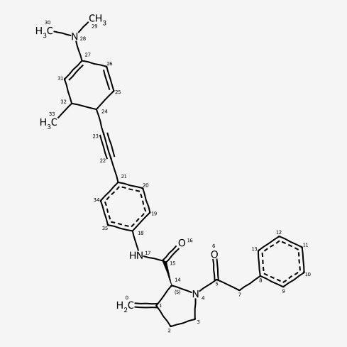 C=C1CCN(C(=O)Cc2ccccc2)[C@@H]1C(=O)Nc1ccc(C#CC2C=CC(N(C)C)=CC2C)cc1